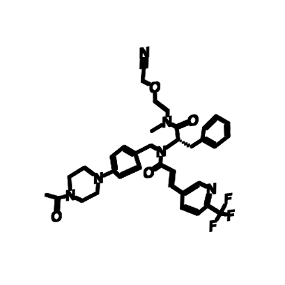 CC(=O)N1CCN(c2ccc(CN(C(=O)/C=C/c3ccc(C(F)(F)F)nc3)[C@@H](Cc3ccccc3)C(=O)N(C)CCOCC#N)cc2)CC1